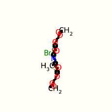 C=CC(=O)OCCCCOc1ccc(C(=O)Sc2ccc(/C=N/c3ccc(SC(=O)c4ccc(OCCCCOC(=O)C=C)cc4)c(Br)c3)cc2C)cc1